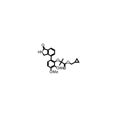 COc1ccc(-c2cccc3c2CNC3=O)c(OC(C)(C)C(=O)OCC2CC2)c1OC